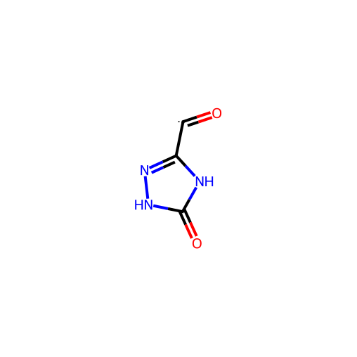 O=[C]c1n[nH]c(=O)[nH]1